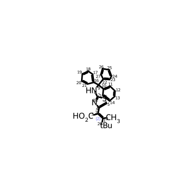 C/C(=C(/C(=O)O)c1csc(NC(c2ccccc2)(c2ccccc2)c2ccccc2)n1)C(C)(C)C